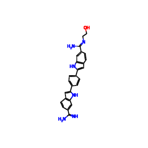 N=C(N)c1ccc2cc(-c3ccc(-c4cc5ccc(/C(N)=N/CCO)cc5[nH]4)cc3)[nH]c2c1